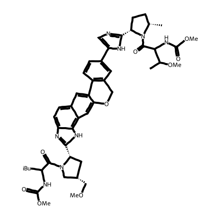 CCC(C)C(NC(=O)OC)C(=O)N1C[C@@H](COC)C[C@H]1c1nc2ccc3cc4c(cc3c2[nH]1)OCc1cc(-c2cnc([C@@H]3CC[C@H](C)N3C(=O)C(NC(=O)OC)C(C)OC)[nH]2)ccc1-4